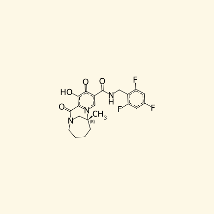 C[C@@]12CCCCN(C1)C(=O)c1c(O)c(=O)c(C(=O)NCc3c(F)cc(F)cc3F)cn12